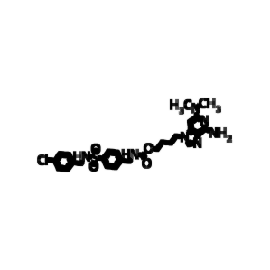 CN(C)c1cc2c(ncn2CCCCOC(=O)NCc2ccc(S(=O)(=O)NCc3ccc(Cl)cc3)cc2)c(N)n1